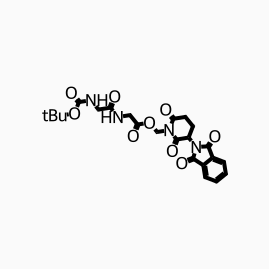 CC(C)(C)OC(=O)NCC(=O)NCC(=O)OCN1C(=O)CCC(N2C(=O)c3ccccc3C2=O)C1=O